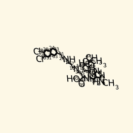 CNc1ncnc2c1ccn2[C@@H]1C[C@H](CN(CCCNCCc2ccc3cc(Cl)c(Cl)cc3c2)CCC(N)C(=O)O)[C@H]2OC(C)(C)O[C@H]21